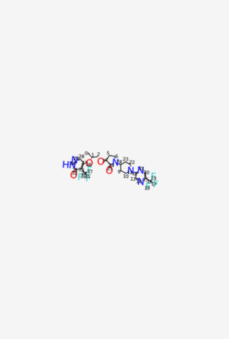 C[C@@H](CO[C@H]1CCN(C2CCN(c3cnc(C(F)(F)F)cn3)CC2)C1=O)Oc1cn[nH]c(=O)c1C(F)(F)F